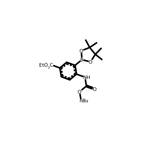 CCCCOC(=O)Nc1ccc(C(=O)OCC)cc1B1OC(C)(C)C(C)(C)O1